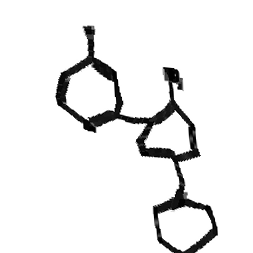 O=[N+]([O-])c1ccc(N2CCCCC2)cc1-c1cc(F)ccn1